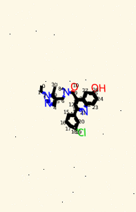 CCn1ncc(CN(C)C(=O)c2cc(-c3cccc(Cl)c3)nc3ccc(O)cc23)c1C